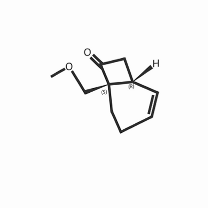 COC[C@]12CCC=C[C@H]1CC2=O